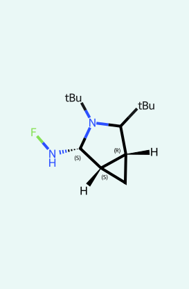 CC(C)(C)C1[C@@H]2C[C@@H]2[C@H](NF)N1C(C)(C)C